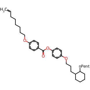 C=CCCCCCCOc1ccc(C(=O)Oc2ccc(OCCCC3CCCCC3CCCCC)cc2)cc1